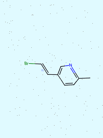 Cc1ccc(/C=C/Br)cn1